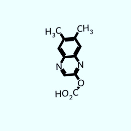 Cc1cc2ncc(OC(=O)O)nc2cc1C